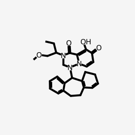 CCC(COC)N1CN(C2C3=C(C=CCC3)CCc3ccccc32)n2ccc(=O)c(O)c2C1=O